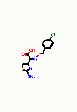 Nc1nc(/C(=N/OCc2ccc(Cl)cc2)C(=O)O)cs1